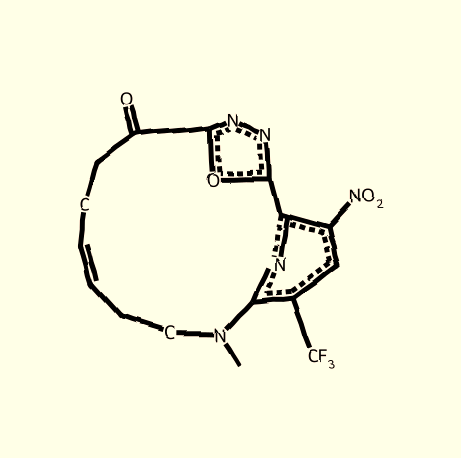 CN1CCC=CCCC(=O)c2nnc(o2)-c2nc1c(C(F)(F)F)cc2[N+](=O)[O-]